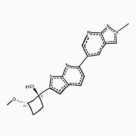 CO[C@H]1CC[C@@]1(O)c1cc2ccc(-c3cnc4nn(C)cc4c3)nc2s1